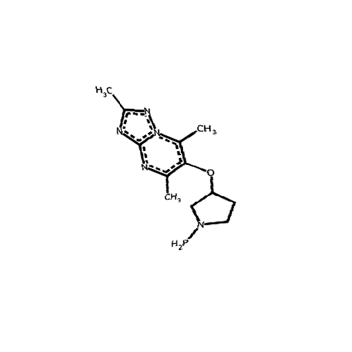 Cc1nc2nc(C)c(OC3CCN(P)C3)c(C)n2n1